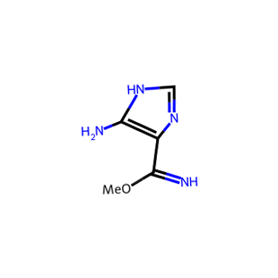 COC(=N)c1nc[nH]c1N